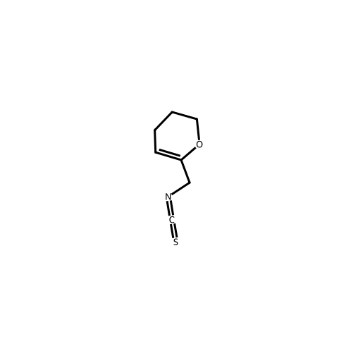 S=C=NCC1=CCCCO1